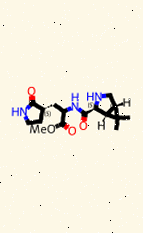 COC(=O)C(C[C@@H]1CCNC1=O)NC(=O)[C@H]1NC[C@H]2[C@H]1C2(C)C